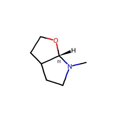 CN1CCC2CCO[C@@H]21